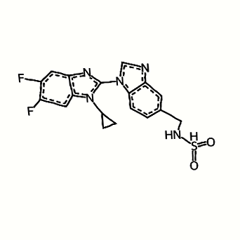 O=[SH](=O)NCc1ccc2c(c1)ncn2-c1nc2cc(F)c(F)cc2n1C1CC1